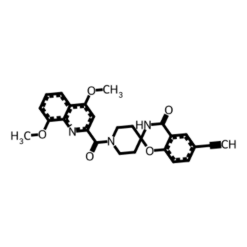 C#Cc1ccc2c(c1)C(=O)NC1(CCN(C(=O)c3cc(OC)c4cccc(OC)c4n3)CC1)O2